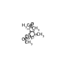 Cc1cc(CP(C)(C)=O)cc(CP(C)(C)=O)c1